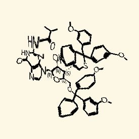 COc1ccc(C(OC[C@H]2O[C@@H](n3cnc4c(=O)[nH]c(NC(=O)C(C)C)nc43)[C@H](O)[C@@H]2CCSC(c2ccccc2)(c2ccc(OC)cc2)c2cccc(OC)c2)(c2ccccc2)c2cccc(OC)c2)cc1